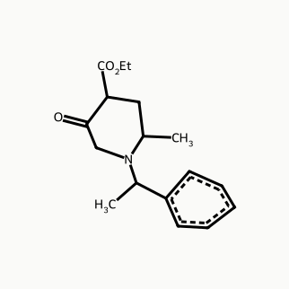 CCOC(=O)C1CC(C)N(C(C)c2ccccc2)CC1=O